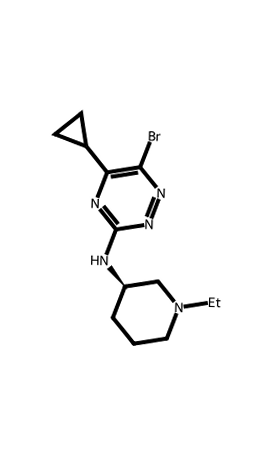 CCN1CCC[C@@H](Nc2nnc(Br)c(C3CC3)n2)C1